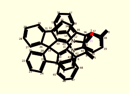 C=C/C=c1\c(=C)c2ccc3c(c2n1-c1ccccc1)C1(c2ccccc2-3)c2ccccc2-c2ccc3c4ccccc4n(-c4ccccc4)c3c21